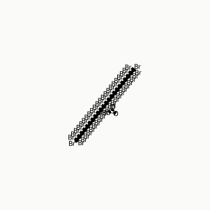 BrC(Br)(Br)C(Br)(Br)C(Br)(Br)C(Br)(Br)C(Br)(Br)C(Br)(Br)C(Br)(Br)C(Br)(Br)C(Br)(Br)C(Br)(Br)C(Br)(Br)C(Br)(Br)C(Br)(Br)C(Br)(Br)C(Br)(Br)C(Br)(Br)C(Br)(Br)C(Br)(Br)C(Br)(Br)C(Br)(Br)C(Br)(Br)C(Br)(Br)Br.O=[SH](=O)O